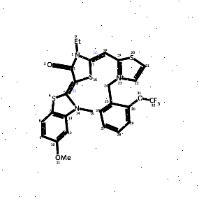 CCn1c(=O)/c(=C2\Sc3ccc(OC)cc3N2C)s/c1=C\c1scc[n+]1Cc1ccccc1OC(F)(F)F